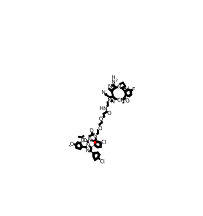 COc1ccc(C2=N[C@@H](c3ccc(Cl)cc3)[C@@H](c3ccc(Cl)cc3)N2C(=O)N2CCN(CCOCCOCCC(=O)NCCn3nc4c(c3C#N)-c3cnc(N)c(c3)N3CCC[C@@H]3c3cc(F)ccc3C(=O)N(C)C4)C(=O)C2)c(OC(C)C)c1